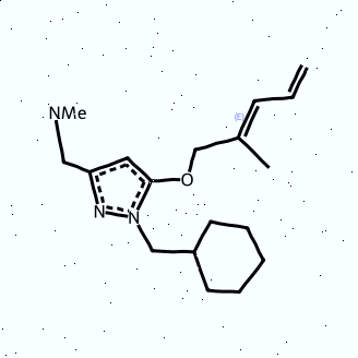 C=C/C=C(\C)COc1cc(CNC)nn1CC1CCCCC1